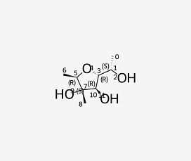 C[C@H](O)[C@H]1O[C@H](C)[C@@](C)(O)[C@@H]1O